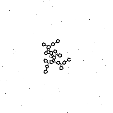 c1ccc(-c2ccc(-c3cc(-c4ccccc4)cc(-n4c5ccccc5c5c6oc7c(c(N(c8ccccc8)c8ccccc8)cc8c7c7cc(N(c9ccccc9)c9ccc(-c%10ccccc%10)cc9)ccc7n8-c7ccc(N(c8ccccc8)c8ccc(-c9ccccc9)cc8)cc7)c6ccc54)c3)cc2)cc1